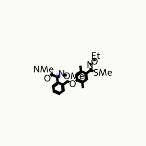 CCON=C(SC)c1cc(C)c(OCc2ccccc2/C(=N\OC)C(=O)NC)cc1C